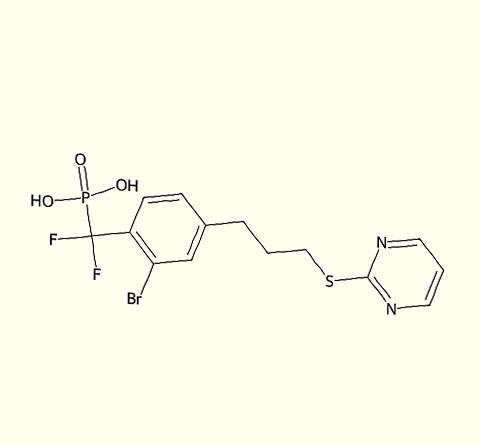 O=P(O)(O)C(F)(F)c1ccc(CCCSc2ncccn2)cc1Br